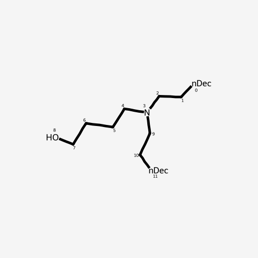 CCCCCCCCCCCCN(CCCCO)CCCCCCCCCCCC